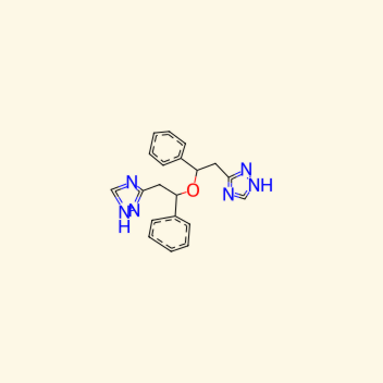 c1ccc(C(Cc2nc[nH]n2)OC(Cc2nc[nH]n2)c2ccccc2)cc1